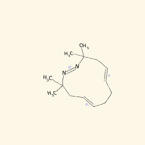 CC1(C)C/C=C/CC/C=C/CC(C)(C)/N=N/1